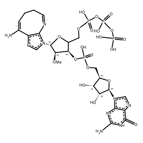 CO[C@@H]1[C@H](OP(O)(=S)OC[C@H]2O[C@@H](n3cnc4c(=O)[nH]c(N)nc43)[C@H](O)[C@@H]2O)C(COP(=O)(O)OP(=O)(O)OP(=O)(O)O)O[C@H]1n1cnc2c1/N=C\CC/C=C\2N